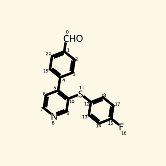 O=Cc1ccc(-c2ccncc2Sc2ccc(F)cc2)cc1